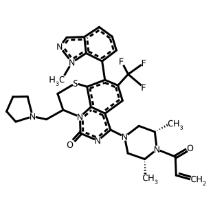 C=CC(=O)N1[C@H](C)CN(c2nc(=O)n3c4c(c(-c5cccc6cnn(C)c56)c(C(F)(F)F)cc24)SCC3CN2CCCC2)C[C@@H]1C